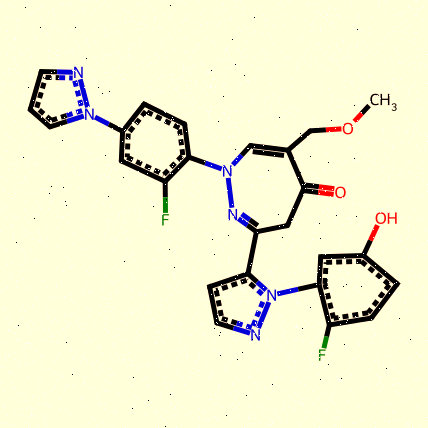 COCC1=CN(c2ccc(-n3cccn3)cc2F)N=C(c2ccnn2-c2cc(O)ccc2F)CC1=O